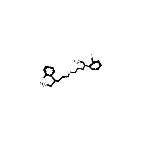 CCC(CCCOCCCC(CC)c1ccccc1F)c1ccccc1F